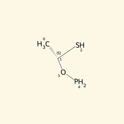 C[C@H](S)OP